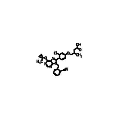 CC(COc1ccc(-c2nc3c(OC4(C)CC4)ncnc3n2Cc2ccccc2C#N)c(Cl)c1)CC(=O)O